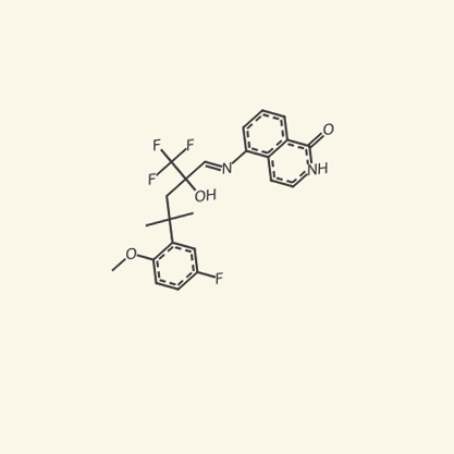 COc1ccc(F)cc1C(C)(C)CC(O)(C=Nc1cccc2c(=O)[nH]ccc12)C(F)(F)F